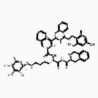 Cc1cc(O)cc(C)c1C[C@H](N)C(=O)N[C@@H](Cc1ccccc1)C(=O)N[C@@H](Cc1ccccc1)C(=O)N[C@@H](CCCCNO[C@]1(C)O[C@H](C)[C@@H](O)[C@H](O)[C@H]1O)C(=O)NC(=O)C1Cc2ccccc2CN1